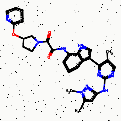 Cc1cnc(Nc2cc(C)n(C)n2)nc1-c1c[nH]c2c(NC(=O)C(=O)N3CCC(Oc4ccccn4)C3)cccc12